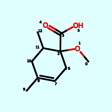 COC1(C(=O)O)[CH]C=C(C)CC1C